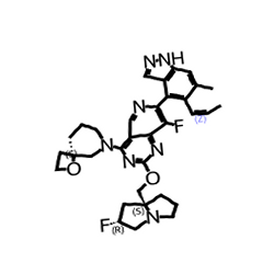 C/C=C\c1c(C)cc2[nH]ncc2c1-c1ncc2c(N3CCC[C@]4(CCO4)C3)nc(OC[C@@]34CCCN3C[C@H](F)C4)nc2c1F